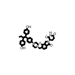 CCC(=C(c1ccc(O)cc1)c1ccc(N2CCN(Cc3ccc4c(c3F)CN(C3CCC(=O)NC3=O)C4=O)CC2)cc1)c1ccc(O)cc1